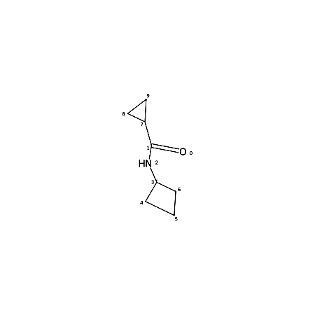 O=C(N[C]1CCC1)C1CC1